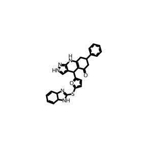 O=C1CC(c2ccccc2)CC2=C1C(c1ccc(SC3=NC4C=CC=CC4N3)o1)c1c[nH]nc1N2